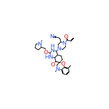 C=CC(=O)N1CCN(C2NC(OCC3CCCN3C)NC3C(=O)[C@@]4(CCC32)CN(C)c2cccc(C)c2O4)CC1CC#N